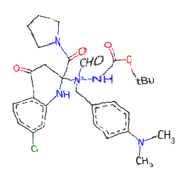 CN(C)c1ccc(C[N+](C=O)(NC(=O)OC(C)(C)C)C2(C(=O)N3CCCC3)CC(=O)c3ccc(Cl)cc3N2)cc1